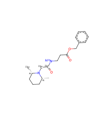 C[C@@H]1CCC[C@H]([13CH3])N1[13CH2][13C](=O)[15NH]CCC(=O)OCc1ccccc1